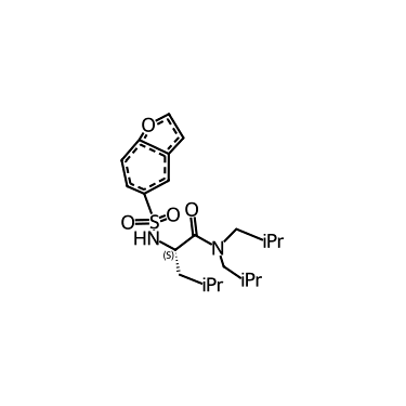 CC(C)C[C@H](NS(=O)(=O)c1ccc2occc2c1)C(=O)N(CC(C)C)CC(C)C